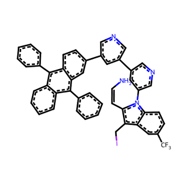 N/C=C\c1c(CI)c2cc(C(F)(F)F)ccc2n1-c1cncc(-c2cncc(-c3ccc4c(-c5ccccc5)c5ccccc5c(-c5ccccc5)c4c3)c2)c1